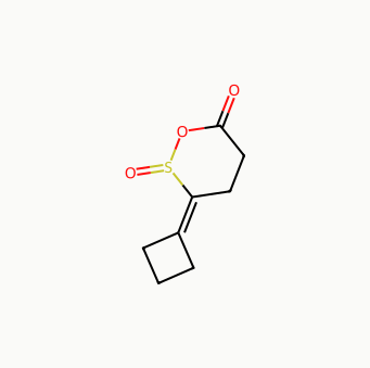 O=C1CCC(=C2CCC2)S(=O)O1